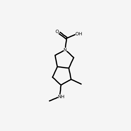 CNC1CC2CN(C(=O)O)CC2C1C